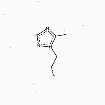 Cc1nnnn1CCF